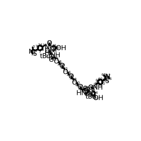 Cc1ncsc1-c1ccc(CNC(=O)[C@@H]2C[C@H](O)CN2C(=O)[C@@H](NC(=O)COCCOCCOCCOCCOCCOCC(=O)N[C@H](C(=O)N2C[C@@H](O)C[C@H]2C(=O)NCc2ccc(-c3scnc3C)cc2)C(C)(C)C)C(C)(C)C)cc1